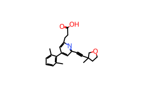 Cc1cccc(C)c1-c1cc(C#CC2(C)CCOC2)nc(CCC(=O)O)c1